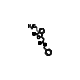 CCC[C@]12CCC=C1C(CC(=O)OCc1ccccc1)OC2=O